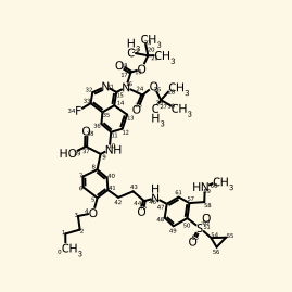 CCCCOc1ccc(C(Nc2ccc3c(N(C(=O)OC(C)(C)C)C(=O)OC(C)(C)C)ncc(F)c3c2)C(=O)O)cc1CCC(=O)Nc1ccc(S(=O)(=O)C2CC2)c(CNC)c1